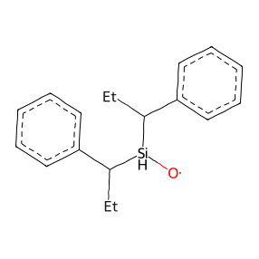 CCC(c1ccccc1)[SiH]([O])C(CC)c1ccccc1